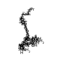 COP(=S)(OC[C@H]1O[C@@H](n2cnc3c(=S)[nH]c(N)nc32)C(O)C1O)OC1C[C@H](n2cnc3c(=S)[nH]c(N)nc32)O[C@@H]1COP(=O)(O)O[C@H](CO)COCCOCCOCCOc1c(C)c(C)c2c(c1C)CC[C@@](C)(CCC[C@H](C)CCC[C@H](C)CCCC(C)C)O2